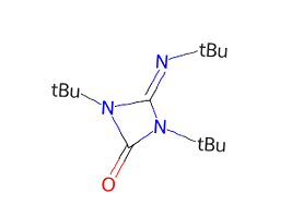 CC(C)(C)N=C1N(C(C)(C)C)C(=O)N1C(C)(C)C